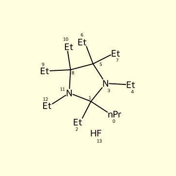 CCCC1(CC)N(CC)C(CC)(CC)C(CC)(CC)N1CC.F